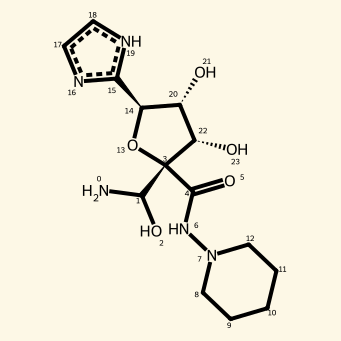 NC(O)[C@@]1(C(=O)NN2CCCCC2)O[C@@H](c2ncc[nH]2)[C@H](O)[C@@H]1O